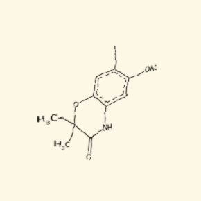 CC(=O)Oc1cc2c(cc1I)OC(C)(C)C(=O)N2